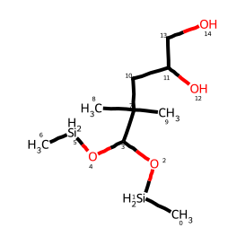 C[SiH2]OC(O[SiH2]C)C(C)(C)CC(O)CO